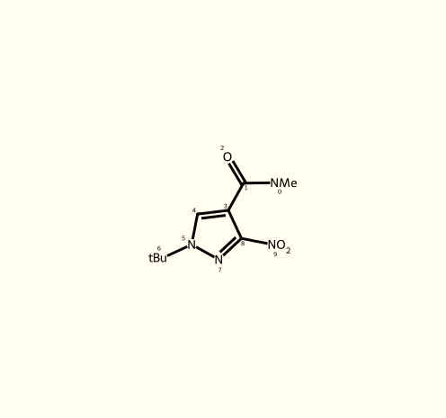 CNC(=O)c1cn(C(C)(C)C)nc1[N+](=O)[O-]